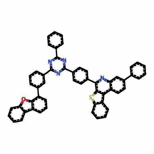 c1ccc(-c2ccc3c(c2)nc(-c2ccc(-c4nc(-c5ccccc5)nc(-c5cccc(-c6cccc7c6oc6ccccc67)c5)n4)cc2)c2sc4ccccc4c23)cc1